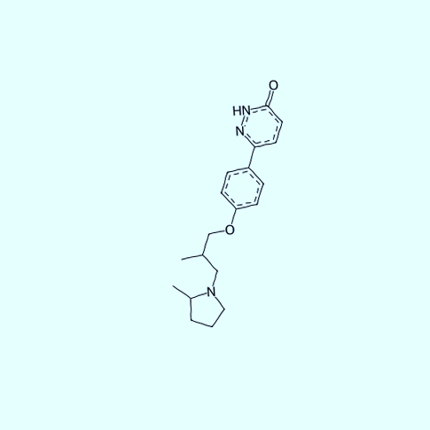 CC(COc1ccc(-c2ccc(=O)[nH]n2)cc1)CN1CCCC1C